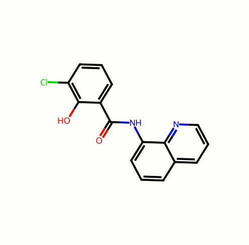 O=C(Nc1cccc2cccnc12)c1cccc(Cl)c1O